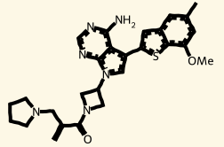 C=C(CN1CCCC1)C(=O)N1CC(n2cc(-c3cc4cc(C)cc(OC)c4s3)c3c(N)ncnc32)C1